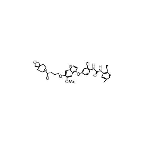 COc1cc2c(Oc3ccc(NC(=O)Nc4cc(C)ccc4F)c(Cl)c3)ccnc2cc1OCCCC(=O)N1CCC2(CC1)COC2